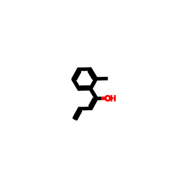 C=C/C=C(/O)c1ccccc1C